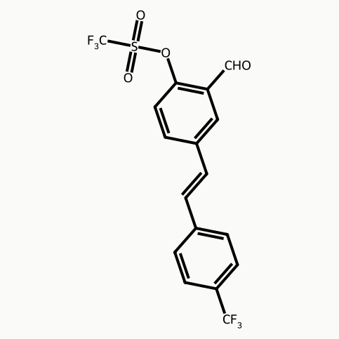 O=Cc1cc(/C=C/c2ccc(C(F)(F)F)cc2)ccc1OS(=O)(=O)C(F)(F)F